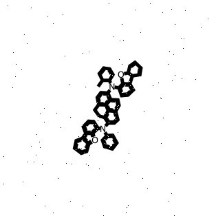 CC1C=CC=CC1N(c1cccc2c1OC1C=CC=CC21)c1ccc2c3c1ccc1ccc(N(c4ccccc4)c4cccc5c4oc4ccccc45)c(c13)CC2